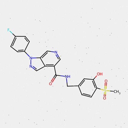 CS(=O)(=O)c1ccc(CNC(=O)c2cncc3c2cnn3-c2ccc(F)cc2)cc1O